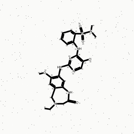 CCN1CC(=O)Nc2cc(Nc3ncc(Cl)c(Nc4ccccc4S(=O)(=O)N(C)C)n3)c(OC)cc2C1